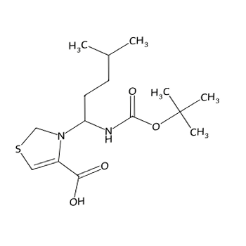 CC(C)CCC(NC(=O)OC(C)(C)C)N1CSC=C1C(=O)O